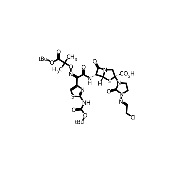 CC(C)(C)OC(=O)Nc1nc(/C(=N/OC(C)(C)C(=O)OC(C)(C)C)C(=O)N[C@@H]2C(=O)N3C[C@@](C(=O)O)(N4CCN(/N=C/CCl)C4=O)S[C@H]23)cs1